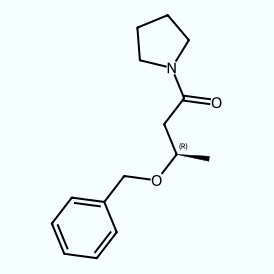 C[C@H](CC(=O)N1CCCC1)OCc1ccccc1